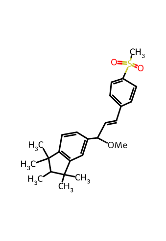 COC(C=Cc1ccc(S(C)(=O)=O)cc1)c1ccc2c(c1)C(C)(C)C(C)C2(C)C